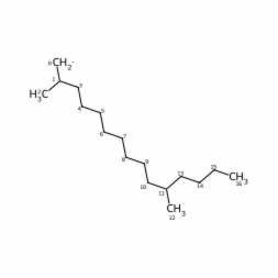 [CH2]C(C)CCCCCCCCC(C)CCCC